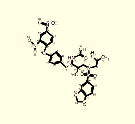 CC(C)CN(C[C@@H](O)[C@H](Cc1ccc(Oc2ccc([N+](=O)[O-])cc2[N+](=O)[O-])cc1)NC(=O)O)S(=O)(=O)c1ccc2c(c1)OCO2